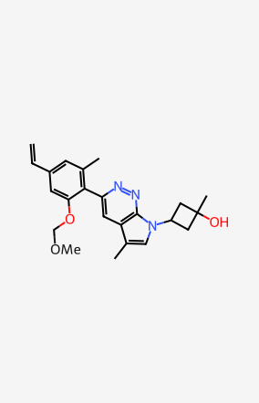 C=Cc1cc(C)c(-c2cc3c(C)cn(C4CC(C)(O)C4)c3nn2)c(OCOC)c1